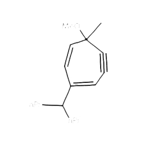 CCCC(CCC)C1=CC#CC(C)(OC)C=C1